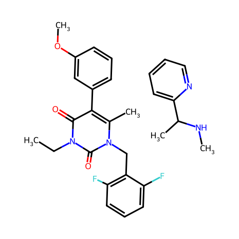 CCn1c(=O)c(-c2cccc(OC)c2)c(C)n(Cc2c(F)cccc2F)c1=O.CNC(C)c1ccccn1